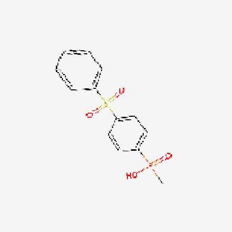 CP(=O)(O)c1ccc(S(=O)(=O)c2ccccc2)cc1